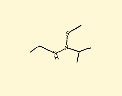 CCNN(SC)C(C)C